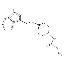 NCC(=O)NC1CCN(CCc2c[nH]c3ccccc23)CC1